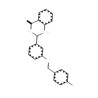 O=C1NC(c2cccc(OCc3ccc(F)cc3)c2)Nc2ccccc21